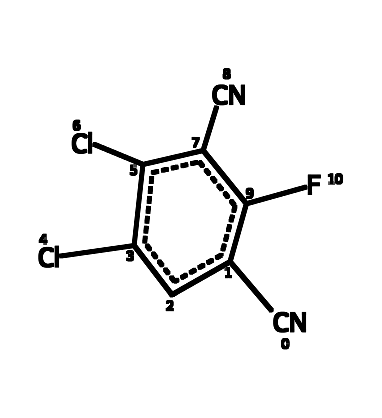 N#Cc1cc(Cl)c(Cl)c(C#N)c1F